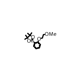 COCCOc1ccccc1B1OC(C)(C)C(C)(C)O1